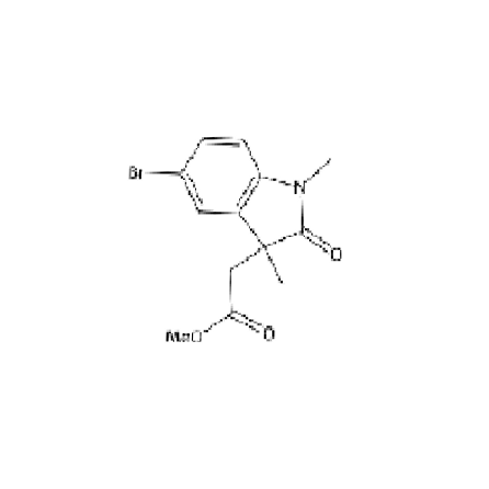 COC(=O)CC1(C)C(=O)N(C)c2ccc(Br)cc21